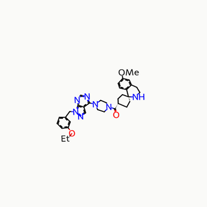 CCOc1cccc(Cn2ncc3c(N4CCN(C(=O)[C@H]5CC[C@@]6(CC5)NCCc5cc(OC)ccc56)CC4)ncnc32)c1